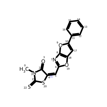 CN1C(=O)/C(=C\c2nc3oc(-c4ccccc4)cc3o2)SC1=S